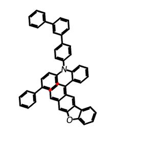 c1ccc(-c2ccc(N(c3ccc(-c4cccc(-c5ccccc5)c4)cc3)c3ccccc3-c3cccc4cc5oc6ccccc6c5cc34)cc2)cc1